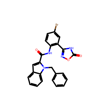 O=C(Nc1ccc(Br)cc1-c1noc(=O)[nH]1)c1cc2ccccc2n1Cc1ccccc1